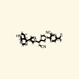 N#CC[C@@H]([C@H]1CCN(c2ncc(C(F)F)nc2C#N)C1)n1cc(-c2ncnc3[nH]ccc23)cn1